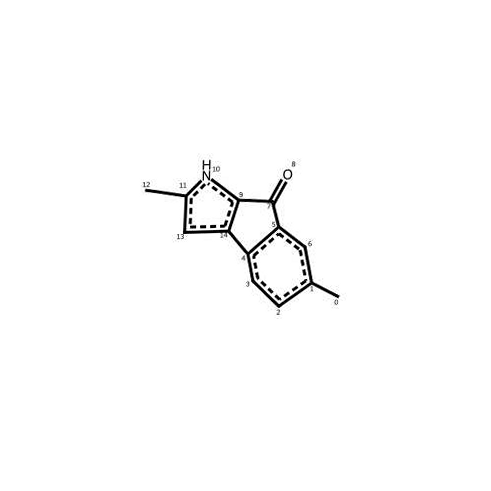 Cc1ccc2c(c1)C(=O)c1[nH]c(C)cc1-2